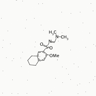 COc1cc2c(cc1S(=O)(=O)N=CN(C)C)CCCC2